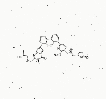 COc1nc(-c2cccc(-c3cccc(-c4cc5c(=O)n(C)c(CN(C)C[C@H](C)O)nn5c4)c3Cl)c2Cl)ccc1CNC[C@@H]1CCC(=O)N1